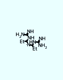 CCC([N]C(CC)NC(=N)N)NC(=N)N